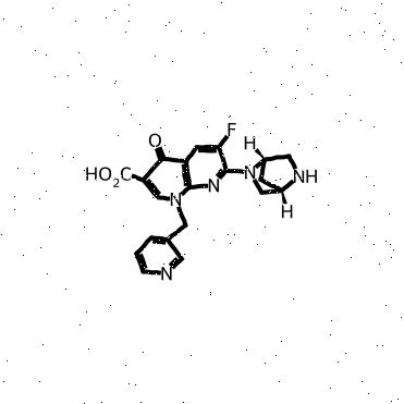 O=C(O)c1cn(Cc2cccnc2)c2nc(N3C[C@@H]4C[C@H]3CN4)c(F)cc2c1=O